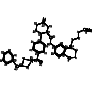 COCCCN1CCOc2ccc(COC3CNCCC3c3ccc(C(=O)N4CC(Oc5ccccc5)C4)cc3)cc21